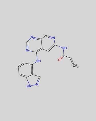 C=CC(=O)Nc1cc2c(Nc3cccc4[nH]ncc34)ncnc2cn1